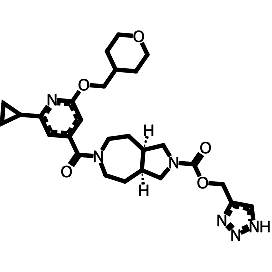 O=C(OCc1c[nH]nn1)N1C[C@H]2CCN(C(=O)c3cc(OCC4CCOCC4)nc(C4CC4)c3)CC[C@H]2C1